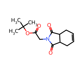 CC(C)(C)OC(=O)CN1C(=O)C2CC=CCC2C1=O